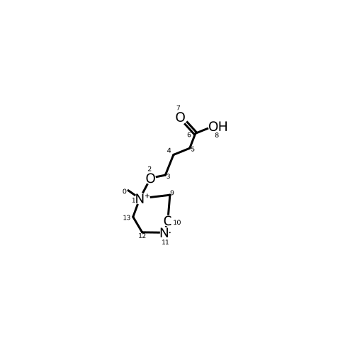 C[N+]1(OCCCC(=O)O)CC[N]CC1